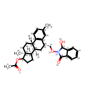 CC(=O)OC1CC[C@@H]2[C@@H]3C[C@@H](CON4C(=O)c5ccccc5C4O)c4cc(C)ccc4[C@H]3CC[C@]12C